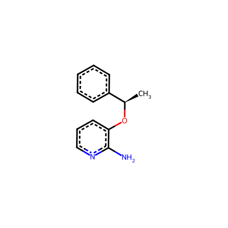 C[C@@H](Oc1cccnc1N)c1ccccc1